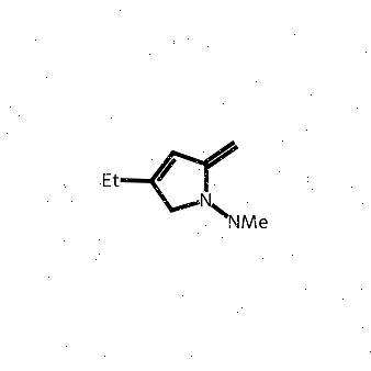 C=C1C=C(CC)CN1NC